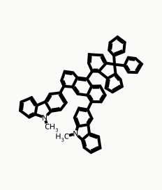 Cn1c2ccccc2c2cc(-c3cccc4c(-c5cccc6c5-c5ccccc5C6(c5ccccc5)c5ccccc5)c5cccc(-c6ccc7c(c6)c6ccccc6n7C)c5cc34)ccc21